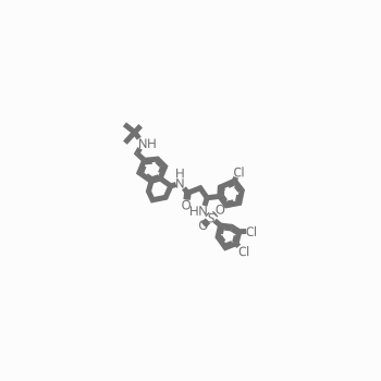 CC(C)(C)NCc1ccc2c(c1)CCCC2NC(=O)CC(NS(=O)(=O)c1ccc(Cl)c(Cl)c1)c1cccc(Cl)c1